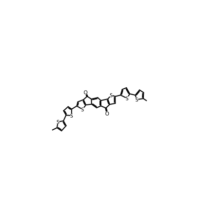 Cc1ccc(-c2ccc(-c3cc4c(=O)c5cc6c(cc5c4s3)c(=O)c3cc(-c4ccc(-c5ccc(C)s5)s4)sc36)s2)s1